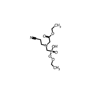 CCOOP(=O)(O)CN(CCC#N)CC(=O)OCC